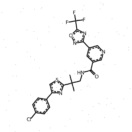 CC(C)(CNC(=O)c1cncc(-c2noc(C(F)(F)F)n2)c1)c1nc(-c2ccc(Cl)cc2)cs1